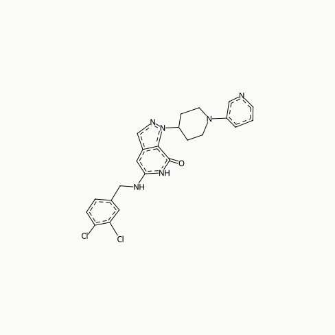 O=c1[nH]c(NCc2ccc(Cl)c(Cl)c2)cc2cnn(C3CCN(c4cccnc4)CC3)c12